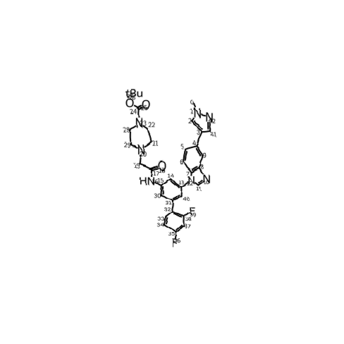 Cn1cc(-c2ccc3c(c2)ncn3-c2cc(NC(=O)CN3CCN(C(=O)OC(C)(C)C)CC3)cc(-c3ccc(F)cc3F)c2)cn1